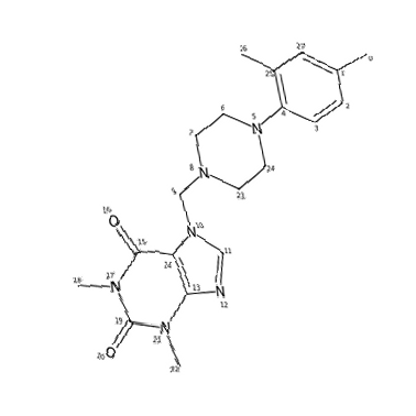 Cc1ccc(N2CCN(Cn3cnc4c3c(=O)n(C)c(=O)n4C)CC2)c(C)c1